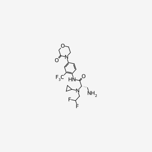 NC[C@@H](C(=O)Nc1ccc(N2CCOCC2=O)cc1C(F)(F)F)N(CC(F)F)C1CC1